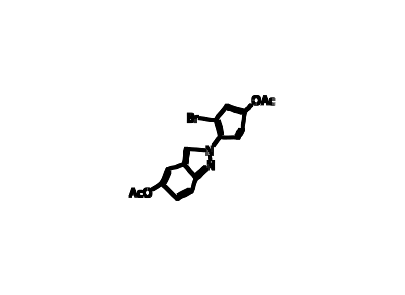 CC(=O)Oc1ccc(-n2cc3cc(OC(C)=O)ccc3n2)c(Br)c1